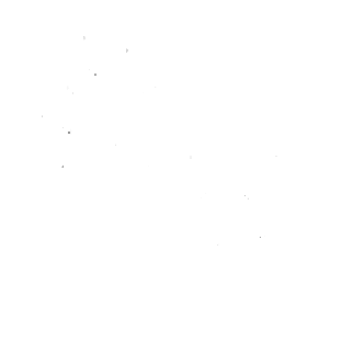 CCC(C)(C)C(=O)OCC[Si]1(C)O[Si](C)(C)O[Si](C)(C)O1